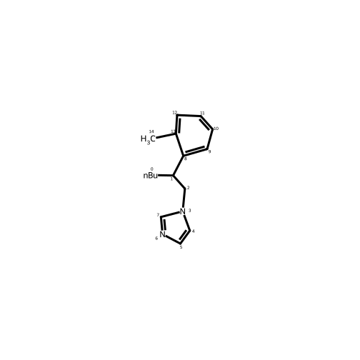 CCCCC(Cn1ccnc1)c1ccccc1C